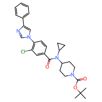 CC(C)(C)OC(=O)N1CCC(N(C(=O)c2ccc(-n3cnc(-c4ccccc4)c3)c(Cl)c2)C2CC2)CC1